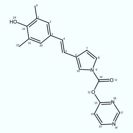 Cc1cc(/C=C/c2ccn(C(=O)Oc3ccncn3)c2)cc(C)c1O